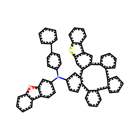 c1ccc(-c2ccc(N(c3ccc4c(c3)oc3ccccc34)c3ccc4c5ccccc5c5ccccc5c5ccccc5c5cc6c(cc5c4c3)sc3ccccc36)cc2)cc1